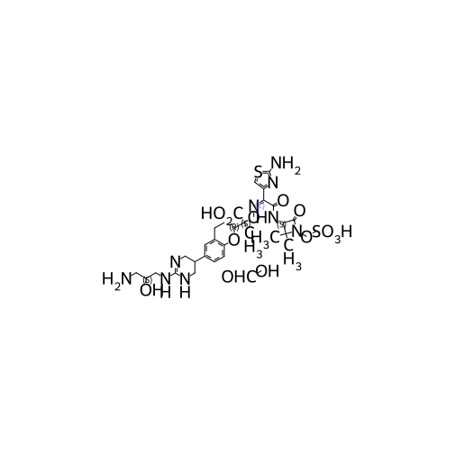 CC1(C)[C@H](NC(=O)/C(=N\O[C@](C)(C(=O)O)[C@H]2CCc3cc(C4CN=C(NC[C@@H](O)CN)NC4)ccc3O2)c2csc(N)n2)C(=O)N1OS(=O)(=O)O.O=CO